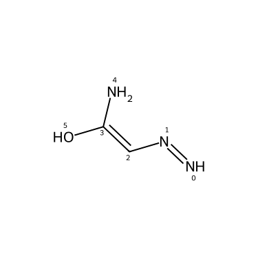 N=N/C=C(\N)O